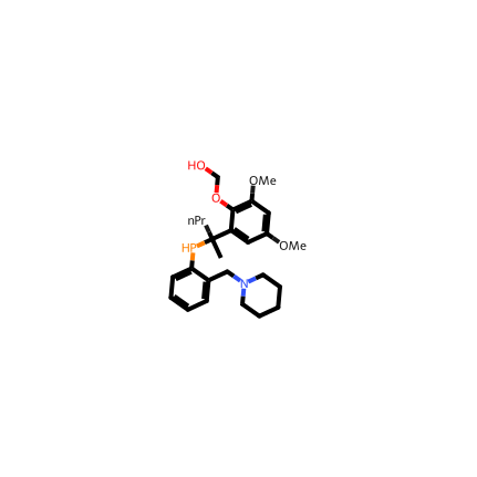 CCCC(C)(Pc1ccccc1CN1CCCCC1)c1cc(OC)cc(OC)c1OCO